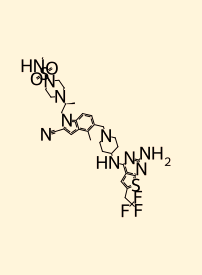 CNS(=O)(=O)N1CCN([C@@H](C)Cn2c(C#N)cc3c(C)c(CN4CCC(Nc5nc(N)nc6sc(CC(F)(F)F)cc56)CC4)ccc32)CC1